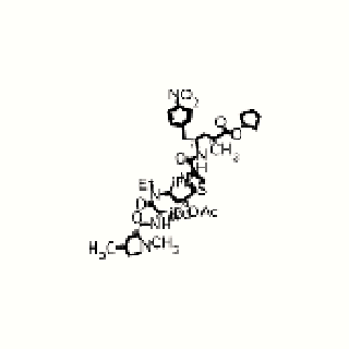 CC[C@H](C)[C@H](NC(=O)[C@H]1C[C@H](C)CCN1C)C(=O)N(CC)[C@H](C[C@@H](OC(C)=O)c1nc(C(=O)N[C@@H](Cc2ccc([N+](=O)[O-])cc2)C[C@H](C)C(=O)OC2CCCC2)cs1)C(C)C